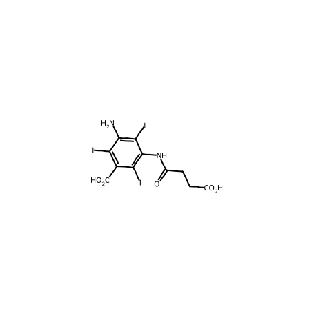 Nc1c(I)c(NC(=O)CCC(=O)O)c(I)c(C(=O)O)c1I